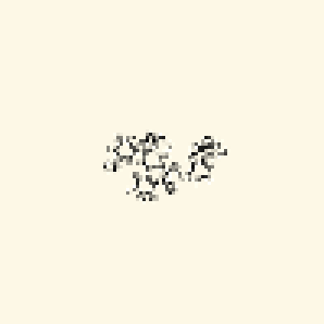 CS(=O)(=O)c1cccc(CCN(C(=O)c2cccnc2)[C@H]2CC[C@](CN)(c3cccc(Cl)c3)CC2)c1